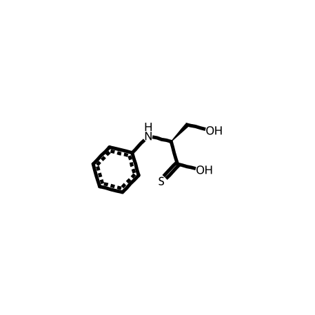 OC[C@H](Nc1ccccc1)C(O)=S